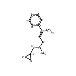 CC(=O)N(C/C=C(\C)c1ccccc1)CC1CC1